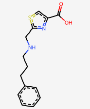 O=C(O)c1csc(CNCCCc2ccccc2)n1